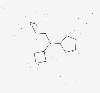 [CH2]CCN(C1CCCC1)C1CCC1